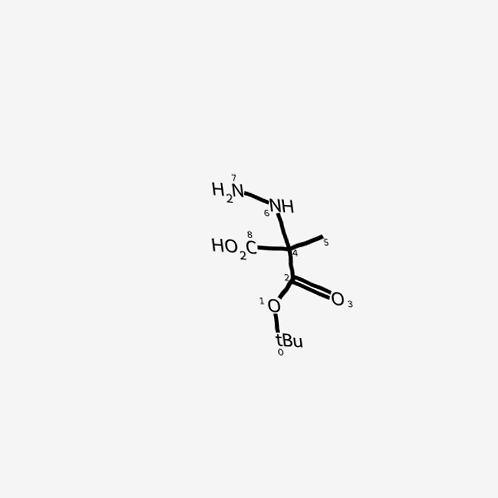 CC(C)(C)OC(=O)C(C)(NN)C(=O)O